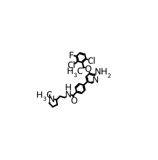 CC(Oc1cc(-c2ccc(C(=O)NCCC3CCCN3C)cc2)cnc1N)c1c(Cl)ccc(F)c1Cl